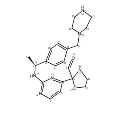 C[C@H](Nc1nccc(C2(C=O)NCCO2)n1)c1ccc(CN2CCNCC2)cc1